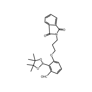 CC1(C)OB(c2c(C=O)cccc2OCCCN2C(=O)c3ccccc3C2=O)OC1(C)C